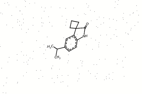 CC(C)c1ccc2c(c1)C1(CCC1)C(=O)N2